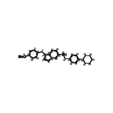 COc1ccc(Cn2ncc3cc(NCc4ccc(C5CCCCC5)cc4)ccc32)cc1